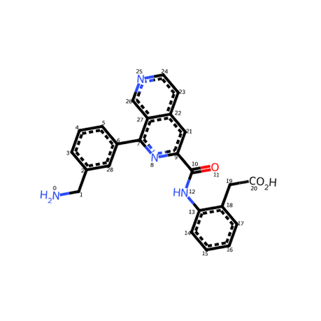 NCc1cccc(-c2nc(C(=O)Nc3ccccc3CC(=O)O)cc3ccncc23)c1